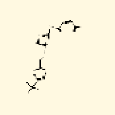 CC(C)(C)c1cnc(CSc2cnc(NC(=O)/C=C\C(=O)O)s2)o1